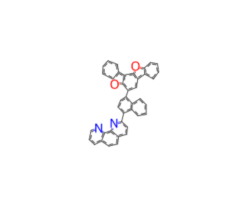 c1cnc2c(c1)ccc1ccc(-c3ccc(-c4cc5c6ccccc6oc5c5c4oc4ccccc45)c4ccccc34)nc12